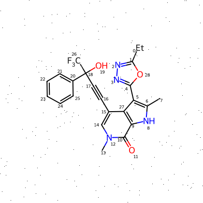 CCc1nnc(-c2c(C)[nH]c3c(=O)n(C)cc(C#CC(O)(c4ccccc4)C(F)(F)F)c23)o1